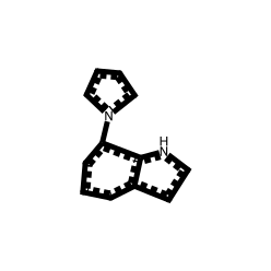 c1cc(-n2cccc2)c2[nH]ccc2c1